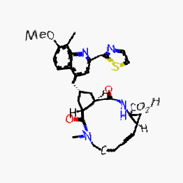 COc1ccc2c(C[C@@H]3C[C@H]4C(=O)N[C@]5(C(=O)O)C[C@H]5/C=C\CCCN(C)C(=O)[C@@H]4C3)cc(-c3nccs3)nc2c1C